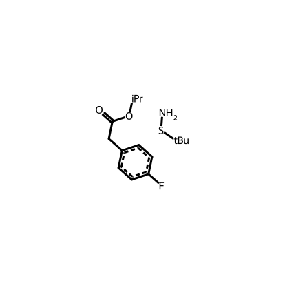 CC(C)(C)SN.CC(C)OC(=O)Cc1ccc(F)cc1